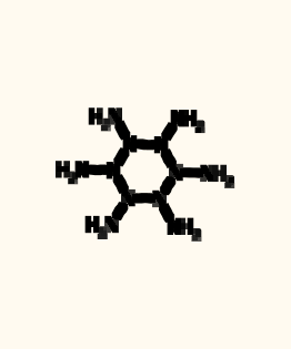 NN1N(N)N(N)N(N)N(N)N1N